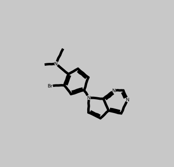 CN(C)c1ccc(-n2ccc3cncnc32)cc1Br